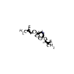 C=C(F)COC(=O)/C=C\C(=O)OCC(=C)F